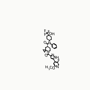 COc1cc(-c2cc(C(=O)N3CC[C@H](C(=O)N(c4ccccc4)C4CCC(O)(C(F)(F)F)CC4)CC34CC4)n[nH]2)c(F)cn1